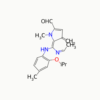 C=c1cc(C=O)n(C)/c1=C(/N=C\C)Nc1ccc(C)cc1OC(C)C